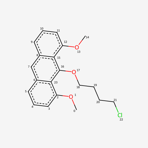 COc1cccc2cc3cccc(OC)c3c(OCCCCCl)c12